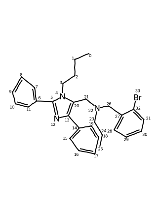 CCCCn1c(-c2ccccc2)nc(-c2ccccc2)c1CN(CCC)Cc1ccccc1Br